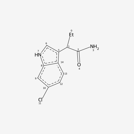 CCC(C(N)=O)c1c[nH]c2cc(Cl)ccc12